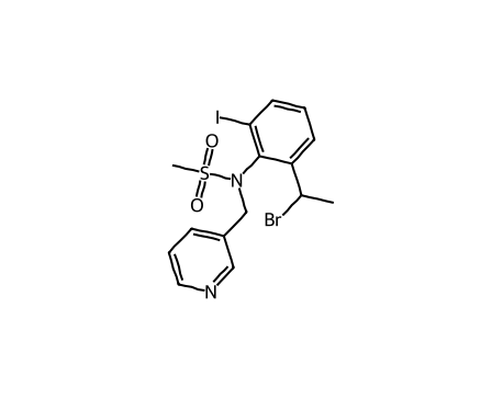 CC(Br)c1cccc(I)c1N(Cc1cccnc1)S(C)(=O)=O